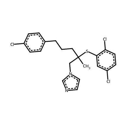 CC(CCCc1ccc(Cl)cc1)(Cn1ccnc1)Sc1cc(Cl)ccc1Cl